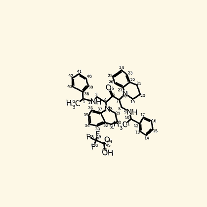 CC(NCC(C(=O)C(CNC(C)c1ccccc1)N1CCCc2ccccc21)N1CCCc2ccccc21)c1ccccc1.O=C(O)C(F)(F)F